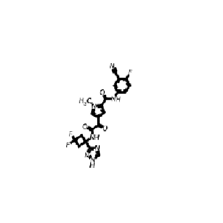 Cn1cc(C(=O)C(=O)NC2(c3nc[nH]n3)CC(F)(F)C2)cc1C(=O)Nc1ccc(F)c(C#N)c1